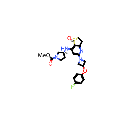 COC(=O)N1CC[C@H](Nc2cc(N3CC(Oc4ccc(F)cc4)C3)nc3c2[S@+]([O-])CC3)C1